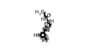 CCCC(=O)NNC(=O)/C=C\n1cnc(-c2cc(S)cc(C(F)(F)F)c2)n1